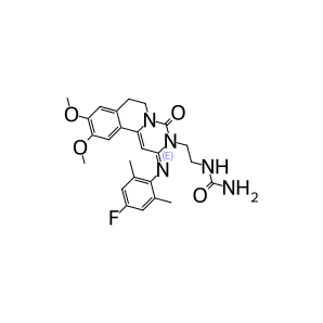 COc1cc2c(cc1OC)-c1c/c(=N\c3c(C)cc(F)cc3C)n(CCNC(N)=O)c(=O)n1CC2